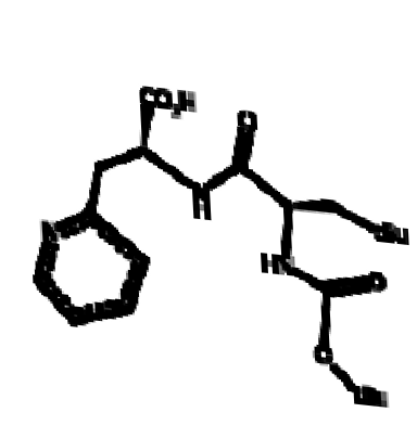 CC(C)(C)C[C@@H](NC(=O)OC(C)(C)C)C(=O)N[C@@H](Cc1ccccn1)C(=O)O